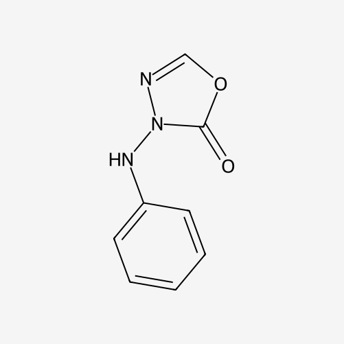 O=c1ocnn1Nc1ccccc1